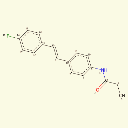 N#CCC(=O)Nc1ccc(/C=C/c2ccc(F)cc2)cc1